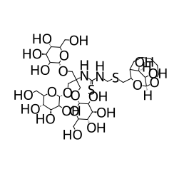 OCC1O[C@H](OCC(CO[C@H]2OC(CO)[C@@H](O)[C@H](O)C2O)(CO[C@H]2OC(CO)[C@@H](O)[C@H](O)C2O)NC(=S)NCSCC2O[C@@H]3OCCCCCC2[C@@H](O)C3O)C(O)[C@@H](O)[C@@H]1O